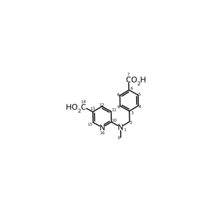 CN(Cc1ccc(C(=O)O)cc1)c1ccc(C(=O)O)cn1